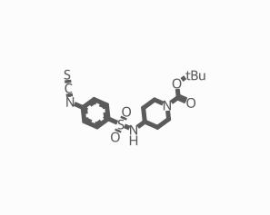 CC(C)(C)OC(=O)N1CCC(NS(=O)(=O)c2ccc(N=C=S)cc2)CC1